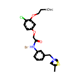 CCCCCCCCCCCCOc1cc(OCC(=O)Nc2cccc(C[n+]3csc(C)c3)c2)ccc1Cl.[Br-]